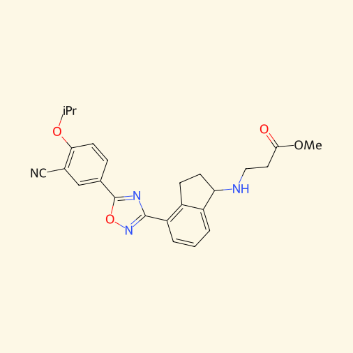 COC(=O)CCNC1CCc2c(-c3noc(-c4ccc(OC(C)C)c(C#N)c4)n3)cccc21